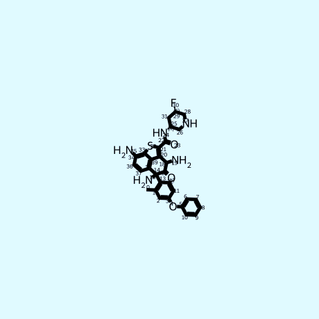 Cc1cc(Oc2ccccc2)ccc1C1(N)C(=O)C(N)c2c(C(=O)N[C@H]3CNC[C@@H](F)C3)sc3c(N)ccc1c23